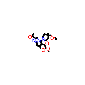 C=COCC1(C)CCN(c2c(C(=O)C(=O)OC)c(C)cc3nc(C(C)=O)cn23)CC1